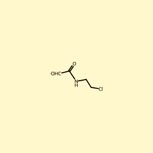 O=[C]C(=O)NCCCl